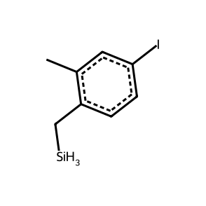 Cc1cc(I)ccc1C[SiH3]